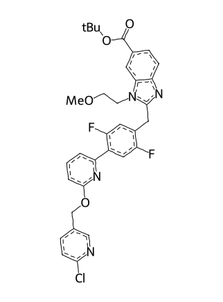 COCCn1c(Cc2cc(F)c(-c3cccc(OCc4ccc(Cl)nc4)n3)cc2F)nc2ccc(C(=O)OC(C)(C)C)cc21